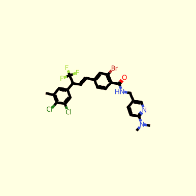 Cc1cc(C(/C=C/c2ccc(C(=O)NCc3ccc(N(C)C)nc3)c(Br)c2)C(F)(F)F)cc(Cl)c1Cl